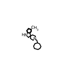 Cc1ccc2c(c1)C1(CCN(CC3CCCCCCC3)CC1)CN2